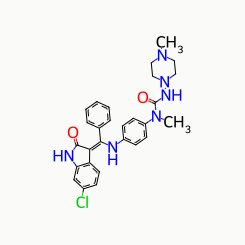 CN1CCN(NC(=O)N(C)c2ccc(NC(=C3C(=O)Nc4cc(Cl)ccc43)c3ccccc3)cc2)CC1